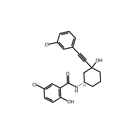 O=C(N[C@H]1CCCC(O)(C#Cc2cccc(Cl)c2)C1)c1cc(Cl)ccc1O